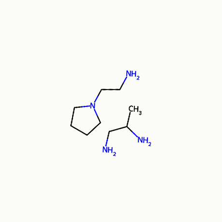 CC(N)CN.NCCN1CCCC1